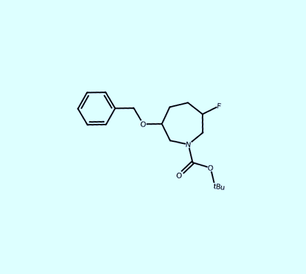 CC(C)(C)OC(=O)N1CC(F)CCC(OCc2ccccc2)C1